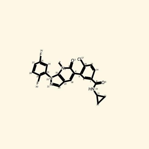 Cn1c(=O)c(-c2cc(C(=O)NC3CC3)ccc2Cl)cc2cnn(-c3cc(F)ccc3F)c21